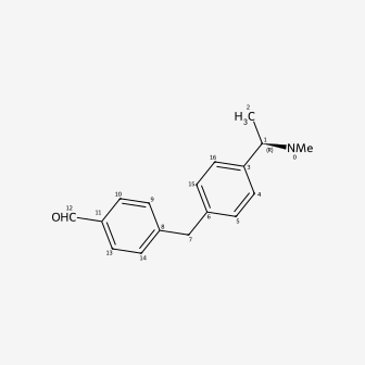 CN[C@H](C)c1ccc(Cc2ccc(C=O)cc2)cc1